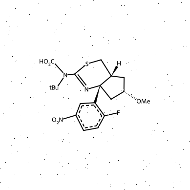 CO[C@H]1C[C@H]2CSC(N(C(=O)O)C(C)(C)C)=N[C@@]2(c2cc([N+](=O)[O-])ccc2F)C1